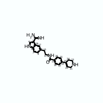 N=C(N)c1c[nH]c2ccc(CCNC(=O)c3ccc(C4=CCNCC4)cc3)cc12